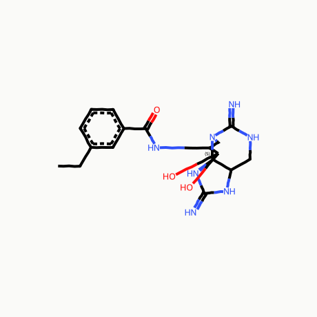 CCc1cccc(C(=O)NC2CN3C(=N)NCC4NC(=N)N[C@@]43C2(O)O)c1